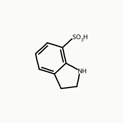 O=S(=O)(O)c1cccc2c1NCC2